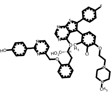 Cc1c(-c2c(-c3ccc(F)cc3)sc3ncnc(O[C@H](Cc4ccccc4OCc4ccnc(-c5ccc(O)cc5)n4)C(=O)O)c23)ccc(OCCN2CCN(C)CC2)c1Cl